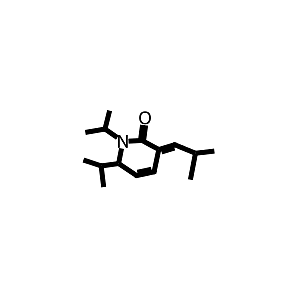 CC(C)/C=C1\C=CC(C(C)C)N(C(C)C)C1=O